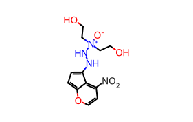 O=[N+]([O-])c1ccoc2ccc(NN[N+]([O-])(CCO)CCO)c1-2